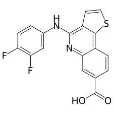 O=C(O)c1ccc2c(c1)nc(Nc1ccc(F)c(F)c1)c1ccsc12